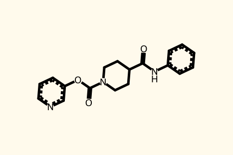 O=C(Nc1ccccc1)C1CCN(C(=O)Oc2cccnc2)CC1